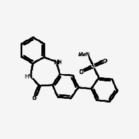 CNS(=O)(=O)c1ccccc1-c1ccc2c(c1)Nc1ccccc1NC2=O